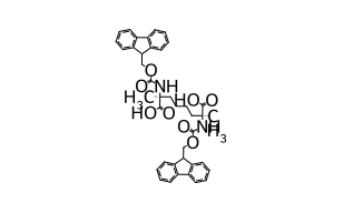 C[C@@](CCCC[C@](C)(NC(=O)OCC1c2ccccc2-c2ccccc21)C(=O)O)(NC(=O)OCC1c2ccccc2-c2ccccc21)C(=O)O